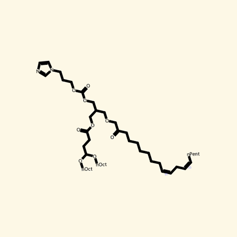 CCCCC/C=C\C/C=C\CCCCCCCC(=O)COCC(COC(=O)CCC(OCCCCCCCC)OCCCCCCCC)COC(=O)OCCCn1ccnc1